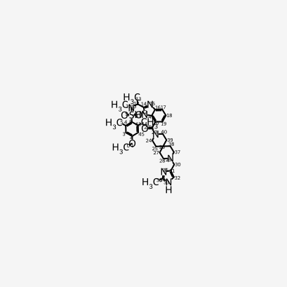 COc1cc(C)c(S(=O)(=O)N(C)C(C)c2nc3cccc(C(=O)N4CCC5(CCN(Cc6c[nH]c(C)n6)CC5)CC4)c3[nH]2)c(C)c1